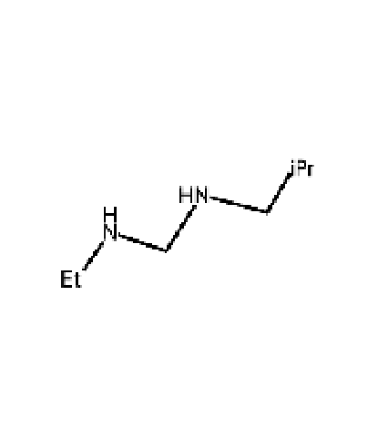 CCNCNCC(C)C